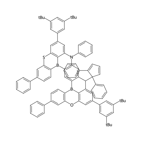 CC(C)(C)c1cc(-c2cc3c4c(c2)C(C2(c5ccccc5)C=CC=C2c2ccccc2)c2cc5c(cc2B4c2ccc(-c4ccccc4)cc2O3)B2c3ccc(-c4ccccc4)cc3Sc3cc(-c4cc(C(C)(C)C)cc(C(C)(C)C)c4)cc(c32)N5c2ccccc2)cc(C(C)(C)C)c1